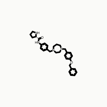 O=C(Nc1ccc(CN2CCCN(Cc3ccc(OCc4ccccc4)cc3)CC2)cc1)[C@@H]1CCCN1